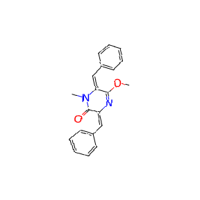 COc1nc(=Cc2ccccc2)c(=O)n(C)c1=Cc1ccccc1